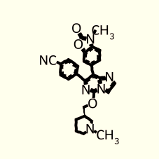 CN1CCC[C@@H](COc2nc(-c3ccc(C#N)cc3)c(-c3ccc4c(c3)oc(=O)n4C)c3nccn23)C1